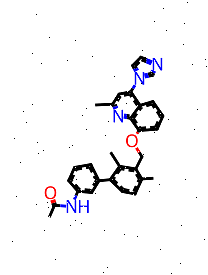 CC(=O)Nc1cccc(-c2ccc(C)c(COc3cccc4c(-n5ccnc5)cc(C)nc34)c2C)c1